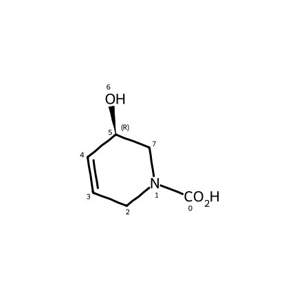 O=C(O)N1CC=C[C@@H](O)C1